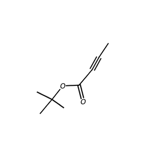 CC#CC(=O)OC(C)(C)C